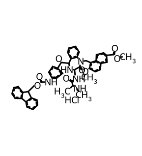 CNC(C)C(=O)NC1NC(C(=O)c2ccc(NC(=O)OCC3c4ccccc4-c4ccccc43)cc2)c2ccccc2N(Cc2c(OC)ccc3cc(C(=O)OC)ccc23)C1=O.Cl